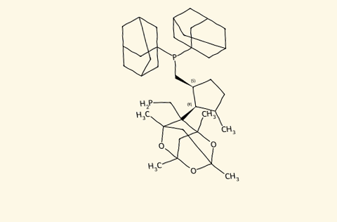 CC1CC[C@H](CP(C23CC4CC(CC(C4)C2)C3)C23CC4CC(CC(C4)C2)C3)[C@@H]1C1(CP)C2(C)CC3(C)OC(C)(CC1(C)O3)O2